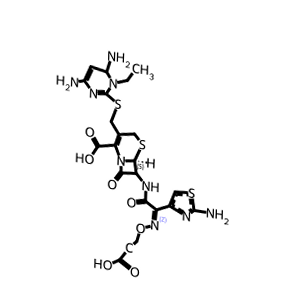 CCN1C(SCC2=C(C(=O)O)N3C(=O)C(NC(=O)/C(=N\OCCC(=O)O)c4csc(N)n4)[C@@H]3SC2)=NC(N)=CC1N